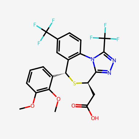 COc1cccc([C@H]2S[C@H](CC(=O)O)c3nnc(C(F)(F)F)n3-c3ccc(C(F)(F)F)cc32)c1OC